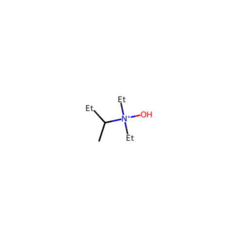 CCC(C)[N+](O)(CC)CC